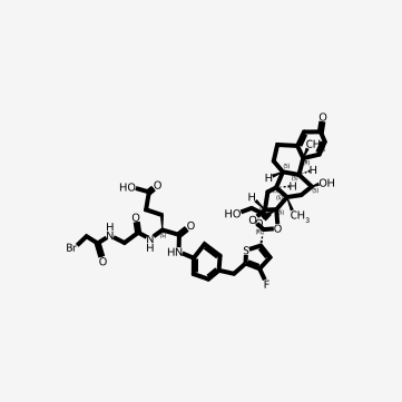 C[C@]12C=CC(=O)C=C1CC[C@@H]1[C@@H]2[C@@H](O)C[C@@]2(C)[C@H]1C[C@H]1O[C@@H](c3cc(F)c(Cc4ccc(NC(=O)[C@H](CCC(=O)O)NC(=O)CNC(=O)CBr)cc4)s3)O[C@]12C(=O)CO